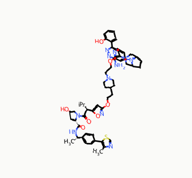 Cc1ncsc1-c1ccc([C@H](C)NC(=O)[C@@H]2C[C@@H](O)CN2C(=O)[C@H](c2cc(OCCC3CCN(CCOc4cc(N5C6CCC5CN(c5cc(-c7ccccc7O)nnc5N)C6)ccn4)CC3)no2)C(C)C)cc1